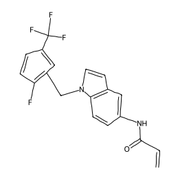 C=CC(=O)Nc1ccc2c(ccn2Cc2cc(C(F)(F)F)ccc2F)c1